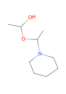 CC(O)OC(C)N1CCCCC1